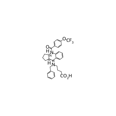 O=C(O)CCCN(Cc1ccccc1)[C@H]1c2ccccc2N(C(=O)c2ccc(OC(F)(F)F)cc2)[C@@H]2CCC[C@@H]21